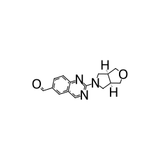 O=Cc1ccc2nc(N3C[C@H]4COC[C@H]4C3)ncc2c1